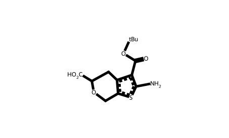 CC(C)(C)OC(=O)c1c(N)sc2c1CC(C(=O)O)OC2